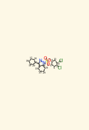 O=S(=O)(Oc1ccc(Cl)c(Cl)c1)n1nc(-c2ccccc2)c2c[c]ccc21